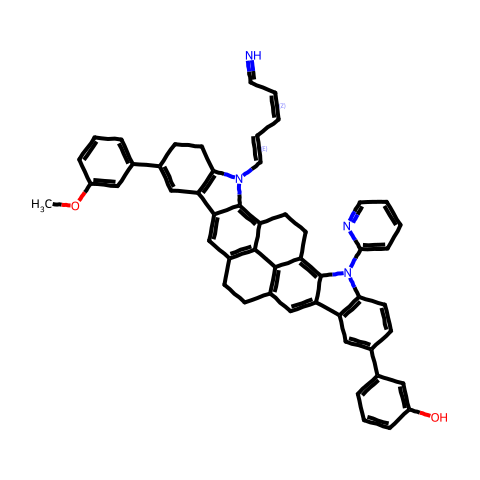 COc1cccc(C2=Cc3c(n(/C=C/C=C\C=N)c4c5c6c(cc34)CCc3cc4c7cc(-c8cccc(O)c8)ccc7n(-c7ccccn7)c4c(c3-6)CC5)CC2)c1